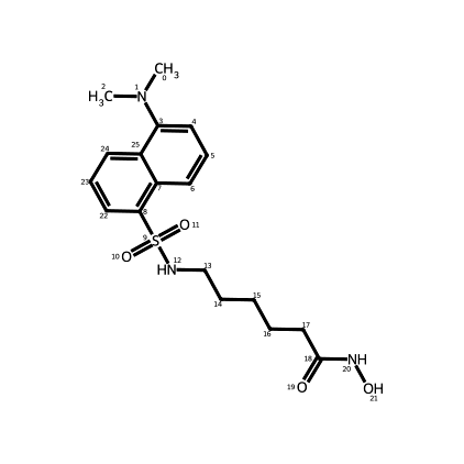 CN(C)c1cccc2c(S(=O)(=O)NCCCCCC(=O)NO)cccc12